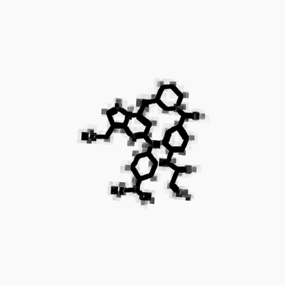 C=CC(=O)Nc1ccc(C(=O)N2CCCC(Nc3cc(NC4CCC(N(C)C)CC4)nc4c(CC)cnn34)C2)cc1